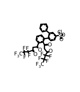 O=C(CC(=O)C(F)(F)C(F)(F)C(F)(F)F)c1cccc(-c2ccc(S(=O)(=O)Cl)cc2-c2ccccc2)c1C(=O)CC(=O)C(F)(F)C(F)(F)C(F)(F)F